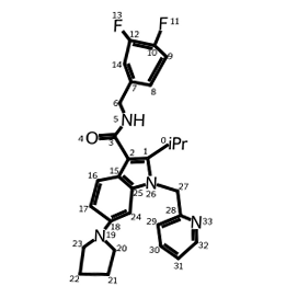 CC(C)c1c(C(=O)NCc2ccc(F)c(F)c2)c2ccc(N3CCCC3)cc2n1Cc1ccccn1